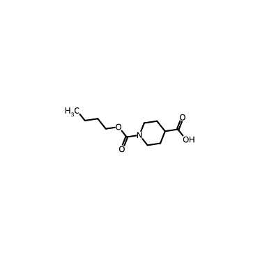 CCCCOC(=O)N1CCC(C(=O)O)CC1